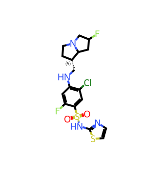 O=S(=O)(Nc1nccs1)c1cc(Cl)c(NC[C@@H]2CCN3CC(F)CC23)cc1F